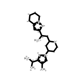 Cc1cn(C2CCOC(CC(C)c3cc4n(n3)CCCC4)C2)nc1C(C)C